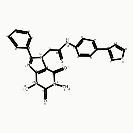 Cn1c(=O)c2c(nc(-c3ccccc3)n2CC(=S)Nc2ccc(-c3ccsc3)cc2)n(C)c1=O